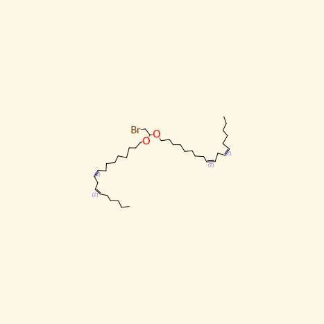 CCCCC/C=C\C/C=C\CCCCCCCCOC(CBr)OCCCCCCCC/C=C\C/C=C\CCCCC